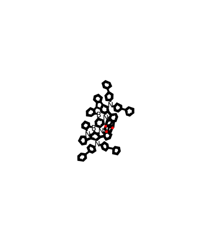 c1ccc(-c2ccc(N(c3ccc(-c4ccccc4)cc3)c3c4c5c6c7c3c3cccc(-c8ccccc8)c3n7-c3cc7c(cc3B6c3ccccc3C5c3ccccc3-4)B3c4ccccc4-n4c5ccccc5c5c(N(c6ccc(-c8ccccc8)cc6)c6ccc(-c8ccccc8)cc6)c6c8cccc(-c9ccccc9)c8n-7c6c3c54)cc2)cc1